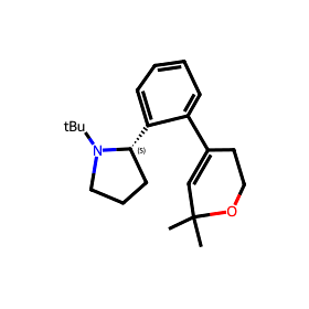 CC1(C)C=C(c2ccccc2[C@@H]2CCCN2C(C)(C)C)CCO1